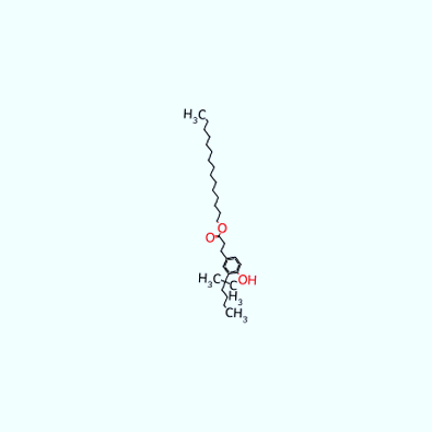 CCCCCCCCCCCCCCCOC(=O)CCc1ccc(O)c(C(C)(C)CCCC)c1